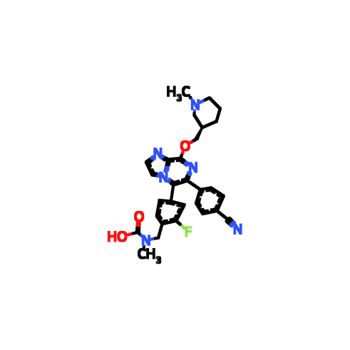 CN1CCC[C@@H](COc2nc(-c3ccc(C#N)cc3)c(-c3ccc(CN(C)C(=O)O)c(F)c3)n3ccnc23)C1